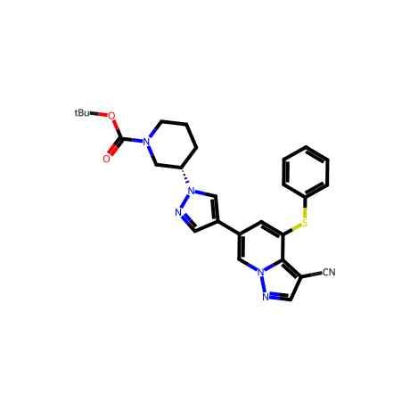 CC(C)(C)OC(=O)N1CCC[C@H](n2cc(-c3cc(Sc4ccccc4)c4c(C#N)cnn4c3)cn2)C1